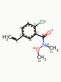 C=Cc1ccc(Cl)c(C(=O)N(C)OC)c1